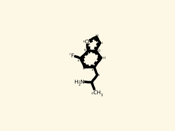 CC(N)Cc1cc(F)c2occc2c1